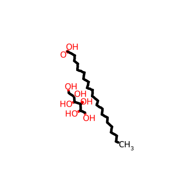 CCCCCCCCCCCCCCCCCCCCCC(=O)O.OCC(O)C(O)C(O)C(O)CO